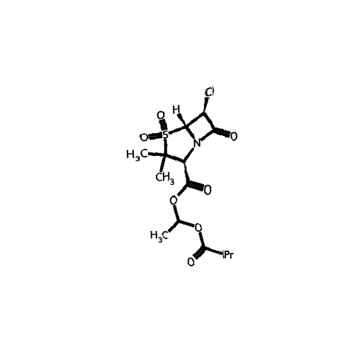 CC(OC(=O)C(C)C)OC(=O)[C@@H]1N2C(=O)[C@H](Cl)[C@H]2S(=O)(=O)C1(C)C